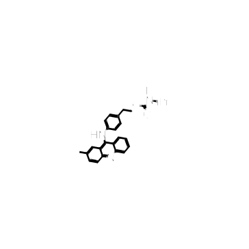 Cc1ccc2nc3ccccc3c(Nc3ccc(CCOC(=O)NC(C)C)cc3)c2c1